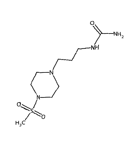 CS(=O)(=O)N1CCN(CCCNC(N)=O)CC1